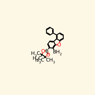 Bc1c(B2OC(C)(C)C(C)(C)O2)ccc2c1oc1cccc(-c3ccccc3)c12